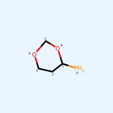 PC1CCOCO1